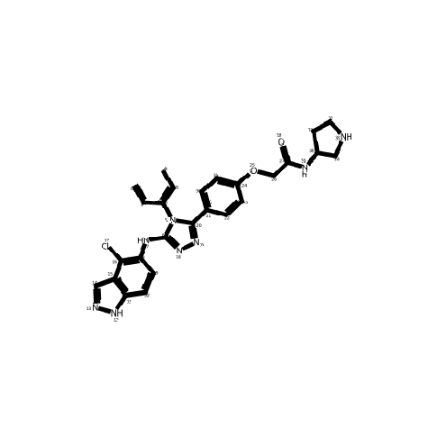 C=C/C(=C\C)n1c(Nc2ccc3[nH]ncc3c2Cl)nnc1-c1ccc(OCC(=O)NC2CCNC2)cc1